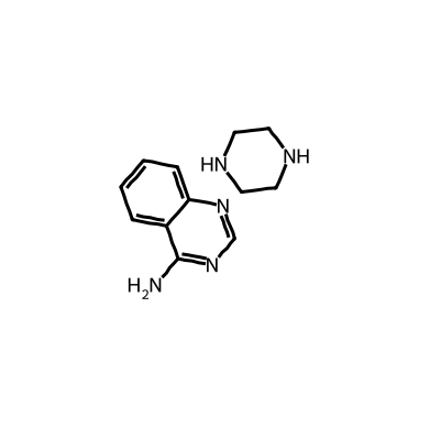 C1CNCCN1.Nc1ncnc2ccccc12